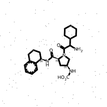 NC(C(=O)N1C[C@@H](NC(=O)O)C[C@H]1C(=O)N[C@@H]1CCCc2ccccc21)C1CCCCC1